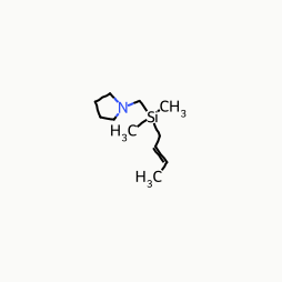 CC=CC[Si](C)(C)CN1CCCC1